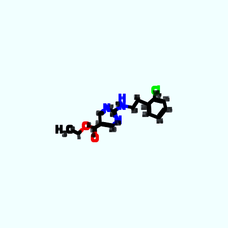 CCOC(=O)c1cnc(NCCc2ccccc2Cl)nc1